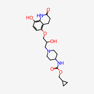 O=C1CCc2c(OCC(O)CN3CCC(NC(=O)OCC4CC4)CC3)ccc(O)c2N1